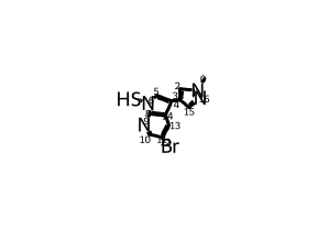 Cn1cc(-c2cn(S)c3ncc(Br)cc23)cn1